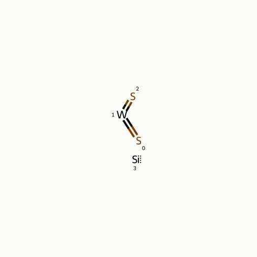 [S]=[W]=[S].[Si]